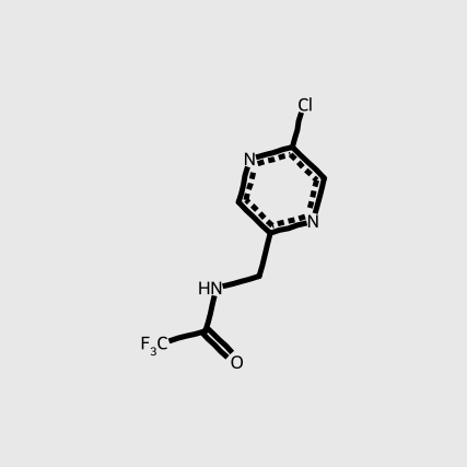 O=C(NCc1cnc(Cl)cn1)C(F)(F)F